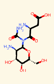 NC(=O)N(C(=O)[C@@H](N)CC(=O)O)C1O[C@H](CO)[C@@H](O)[C@H](O)[C@H]1N